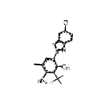 CCCCCC(C)(C)c1c(C)c(C)cc(-n2nc3ccc(Cl)cc3n2)c1O